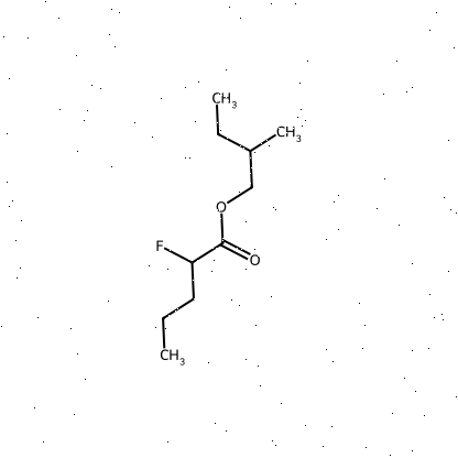 CCCC(F)C(=O)OCC(C)CC